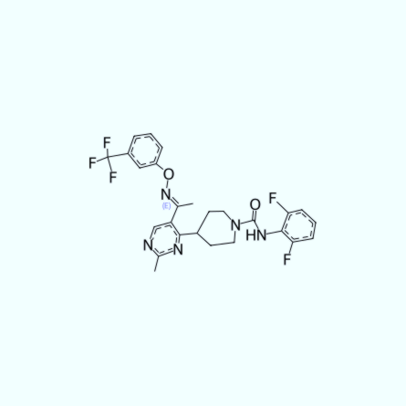 C/C(=N\Oc1cccc(C(F)(F)F)c1)c1cnc(C)nc1C1CCN(C(=O)Nc2c(F)cccc2F)CC1